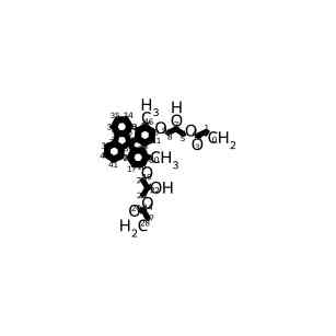 C=CC(=O)OCC(O)COc1ccc(C2(c3ccc(OCC(O)COC(=O)C=C)c(C)c3)c3ccccc3-c3ccccc32)cc1C